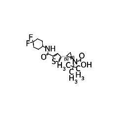 CC(C)(C)N(C(=O)O)[C@@H]1C[C@H]1c1csc(C(=O)NC2CCC(F)(F)CC2)c1